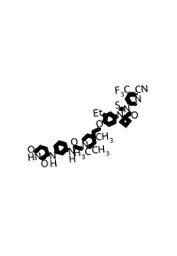 CCc1cc(N2C(=S)N(c3cnc(C#N)c(C(F)(F)F)c3)C(=O)C23CCC3)ccc1OCCC1(C)CCN(CC(=O)Nc2cccc(NC3CCC(=O)NC3=O)c2)C(C)(C)C1